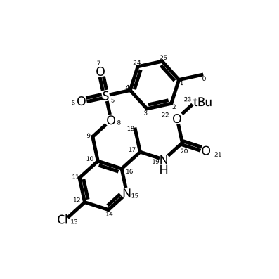 Cc1ccc(S(=O)(=O)OCc2cc(Cl)cnc2C(C)NC(=O)OC(C)(C)C)cc1